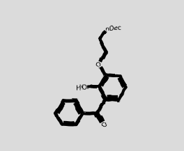 CCCCCCCCCCCCOc1cccc(C(=O)c2ccccc2)c1O